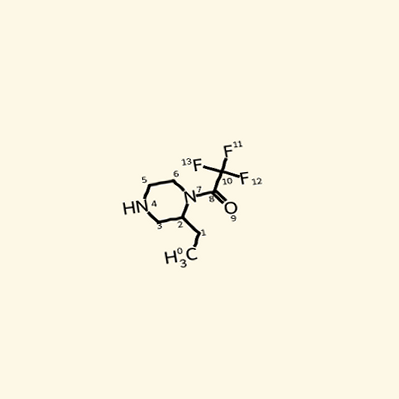 CCC1CNCCN1C(=O)C(F)(F)F